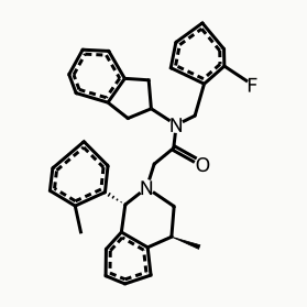 Cc1ccccc1[C@H]1c2ccccc2[C@H](C)CN1CC(=O)N(Cc1ccccc1F)C1Cc2ccccc2C1